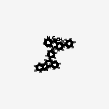 CC1(C)c2ccccc2N(c2ccc(-c3cn4c5ccccc5nc4c4ccccc34)cc2)c2ccc(-c3ccccc3)cc21